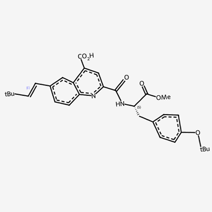 COC(=O)[C@H](Cc1ccc(OC(C)(C)C)cc1)NC(=O)c1cc(C(=O)O)c2cc(/C=C/C(C)(C)C)ccc2n1